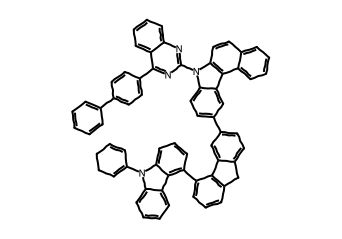 C1=CC(n2c3ccccc3c3c(-c4cccc5c4-c4cc(-c6ccc7c(c6)c6c8ccccc8ccc6n7-c6nc(-c7ccc(-c8ccccc8)cc7)c7ccccc7n6)ccc4C5)cccc32)=CCC1